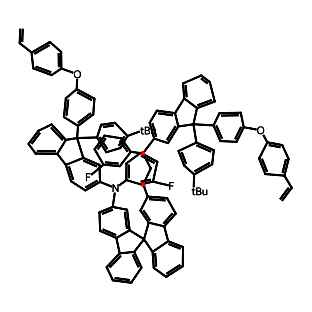 C=Cc1ccc(Oc2ccc(C3(c4ccc(C(C)(C)C)cc4)c4ccccc4-c4ccc(C(CCc5ccc6c(c5)C5(c7ccccc7-6)c6ccccc6-c6ccc(N(c7cccc(F)c7)c7ccc8c(c7)C(c7ccc(Oc9ccc(C=C)cc9)cc7)(c7ccc(C(C)(C)C)cc7)c7ccccc7-8)cc65)c5cccc(F)c5)cc43)cc2)cc1